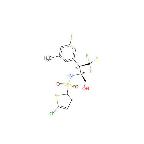 Cc1cc(F)cc([C@H]([C@@H](CO)NS(=O)(=O)C2CC=C(Cl)S2)C(F)(F)F)c1